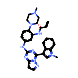 C=CC(=O)Nc1cc(Nc2nc(-c3cn(C)c4ccccc34)n3nccc3n2)ccc1N1CCN(C)CC1